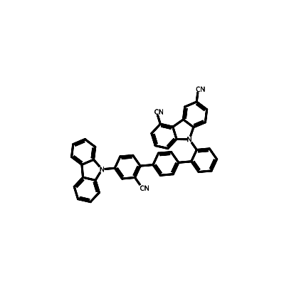 N#Cc1ccc2c(c1)c1c(C#N)cccc1n2-c1ccccc1-c1ccc(-c2ccc(-n3c4ccccc4c4ccccc43)cc2C#N)cc1